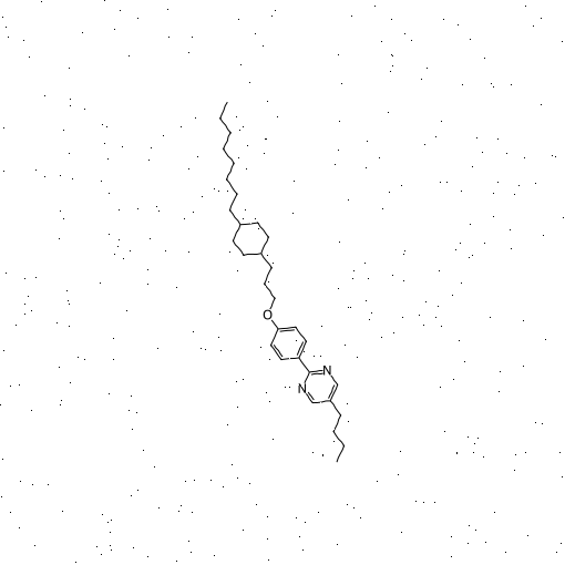 CCCCCCCCC1CCC(CCCOc2ccc(-c3ncc(CCCC)cn3)cc2)CC1